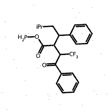 CC(C)CC(c1ccccc1)C(C(=O)OP)C(C(=O)c1ccccc1)C(F)(F)F